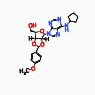 COc1ccc(C2O[C@@H]3[C@@H](CO)OC(n4cnc5c(NC6CCCC6)ncnc54)[C@@H]3O2)cc1